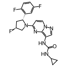 O=C(Nc1cnn2ccc(N3C[C@@H](F)C[C@@H]3c3cc(F)ccc3F)nc12)NC1CC1